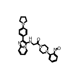 O=Nc1ccccc1N1CCN(C(=O)CNc2c(-c3ccc(N4CCCC4)cc3)nc3ccccn23)CC1